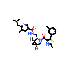 Cc1cccc(-c2sc(C)nc2C(=O)N2C[C@H]3C[C@H]3[C@H]2CNC(=O)c2cnc(CC(C)C)c(C)c2)c1